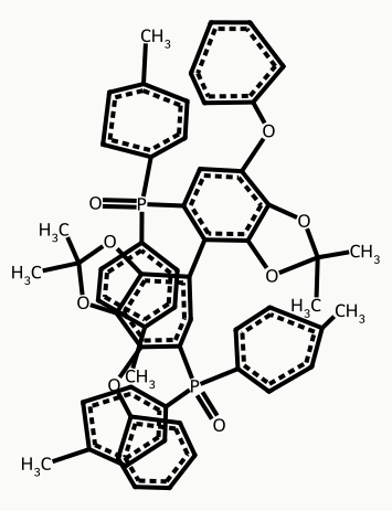 Cc1ccc(P(=O)(c2ccc(C)cc2)c2cc(-c3c(P(=O)(c4ccc(C)cc4)c4ccc(C)cc4)cc(Oc4ccccc4)c4c3OC(C)(C)O4)c3c(c2Oc2ccccc2)OC(C)(C)O3)cc1